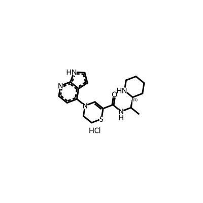 CC(NC(=O)C1=CN(c2ccnc3[nH]ccc23)CCS1)[C@@H]1CCCCN1.Cl